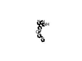 O=C(CN1CCC(c2ccnc3cnc4[nH]ccc4c23)CC1)N1CCCC(CN2CCCC2)C1